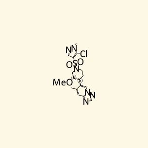 CO[C@@H]1CN(S(=O)(=O)c2cnn(C)c2Cl)CC[C@H]1c1cn2ncnc2cc1C